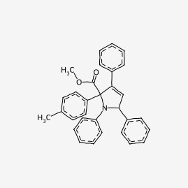 COC(=O)C1(c2ccc(C)cc2)C(c2ccccc2)=CC(c2ccccc2)N1c1ccccc1